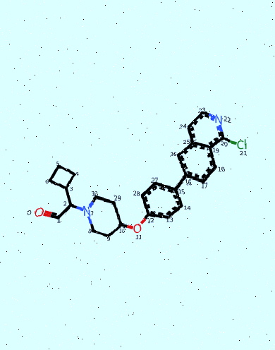 O=CC(C1CCC1)N1CCC(Oc2ccc(-c3ccc4c(Cl)nccc4c3)cc2)CC1